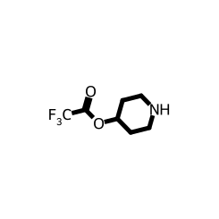 O=C(OC1CCNCC1)C(F)(F)F